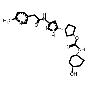 Cc1ccc(CC(=O)Nc2cc([C@@H]3CC[C@H](OC(=O)N[C@H]4CC[C@H](O)CC4)C3)[nH]n2)cn1